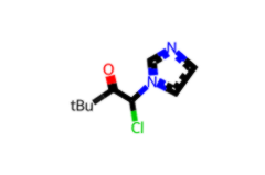 CC(C)(C)C(=O)C(Cl)n1ccnc1